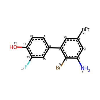 CCCc1cc(N)c(Br)c(-c2ccc(O)c(F)c2)c1